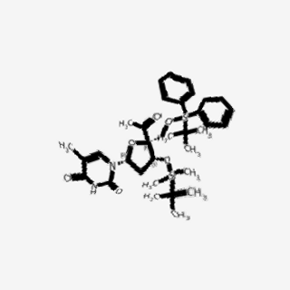 CC(=O)[C@]1(CO[Si](c2ccccc2)(c2ccccc2)C(C)(C)C)O[C@@H](n2cc(C)c(=O)[nH]c2=O)C[C@@H]1O[Si](C)(C)C(C)(C)C